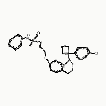 O=S(=O)(CCCOc1ccc2c(c1)C(C1(c3ccc(Cl)cc3)CCC1)NCC2)Nc1ccccc1